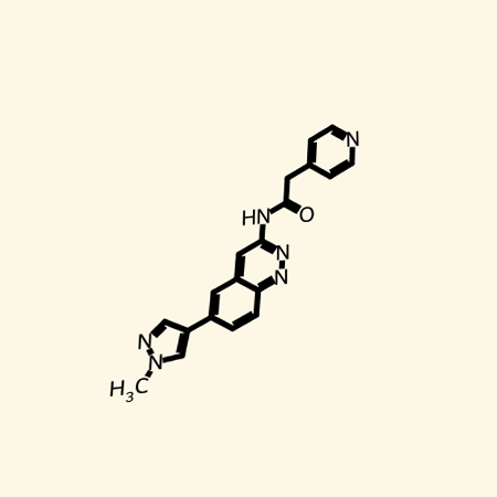 Cn1cc(-c2ccc3nnc(NC(=O)Cc4ccncc4)cc3c2)cn1